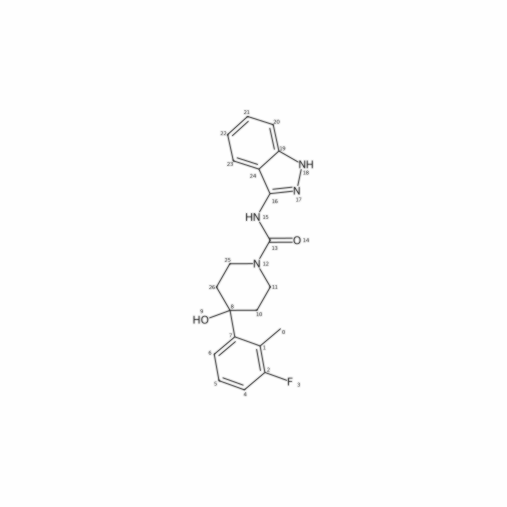 Cc1c(F)cccc1C1(O)CCN(C(=O)Nc2n[nH]c3ccccc23)CC1